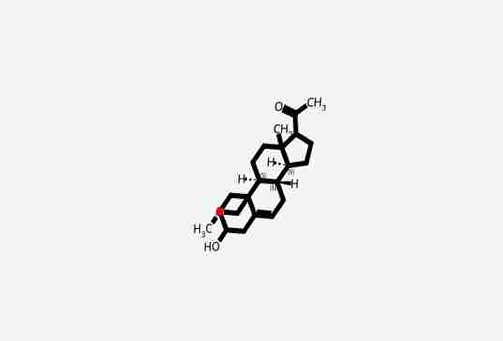 COCC12CCC(O)CC1=CC[C@@H]1[C@@H]2CCC2(C)C(C(C)=O)CC[C@@H]12